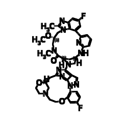 CO[C@H]1CN(C)C(=O)[C@@H]2C[C@@H](CN2c2nc3nc4c2cnn4-c2ccc(F)cc2OCCN2CCO[C@@H](C3)C2)Nc2cccc(n2)-c2cc(F)cc3nc(C)n(c23)C1